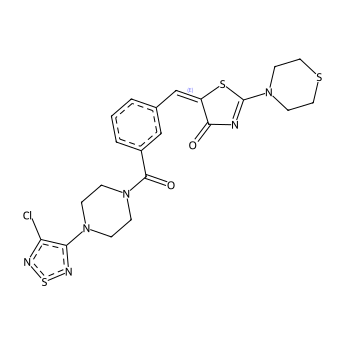 O=C1N=C(N2CCSCC2)S/C1=C/c1cccc(C(=O)N2CCN(c3nsnc3Cl)CC2)c1